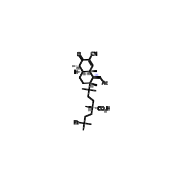 CCC(C)(C)CC[C@@](C)(CCC(C)(C)[C@]1(C)CC[C@H]2[C@H](C)C(=O)C(C#N)=C[C@]2(C)/C1=C/C(C)=O)C(=O)O